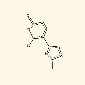 CCc1[nH]c(=O)ccc1-c1csc(C)n1